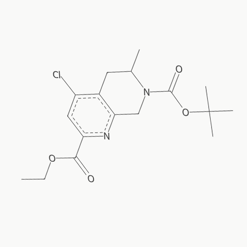 CCOC(=O)c1cc(Cl)c2c(n1)CN(C(=O)OC(C)(C)C)C(C)C2